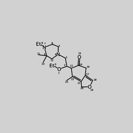 CCOC(CN1CCN(CC)C(C)(C)C1)C1C(=O)CC2=COCC2=C1C